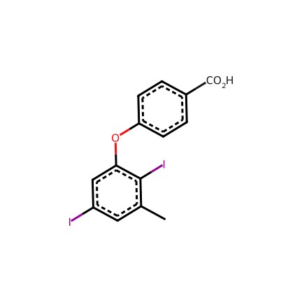 Cc1cc(I)cc(Oc2ccc(C(=O)O)cc2)c1I